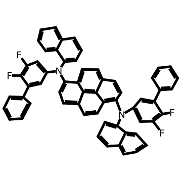 Fc1cc(N(c2cccc3ccccc23)c2ccc3ccc4c(N(c5cc(F)c(F)c(-c6ccccc6)c5)c5cccc6ccccc56)ccc5ccc2c3c54)cc(-c2ccccc2)c1F